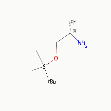 CC(C)[C@H](N)CO[Si](C)(C)C(C)(C)C